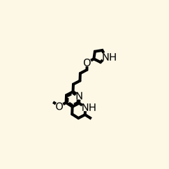 COc1cc(CCCCOC2CCNC2)nc2c1CCC(C)N2